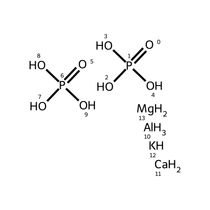 O=P(O)(O)O.O=P(O)(O)O.[AlH3].[CaH2].[KH].[MgH2]